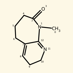 CN1C(=O)CCCC2=CCCN=C21